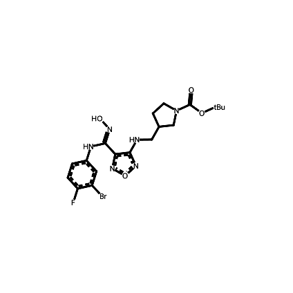 CC(C)(C)OC(=O)N1CCC(CNc2nonc2/C(=N/O)Nc2ccc(F)c(Br)c2)C1